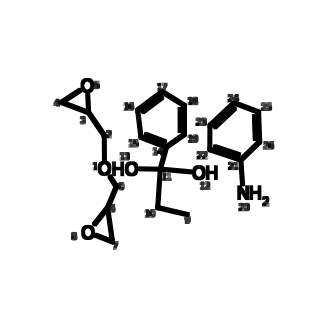 C(OCC1CO1)C1CO1.CCC(O)(O)c1ccccc1.Nc1ccccc1